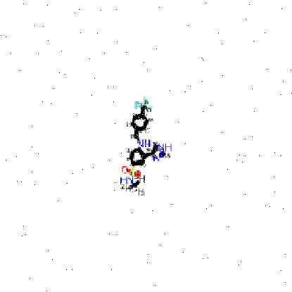 [2H]C([2H])([2H])NS(=O)(=O)c1ccc(NCc2ccc(C(F)(F)F)cc2)c(-c2c[nH]cn2)c1